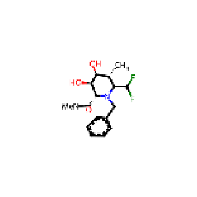 CNC(=O)[C@@H]1[C@@H](O)[C@@H](O)[C@H](C)[C@@H](C(F)F)N1Cc1ccccc1